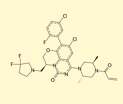 C=CC(=O)N1C[C@H](C)N(c2nc(=O)n3c4c(c(-c5cc(Cl)ccc5F)c(Cl)cc24)OC[C@@H]3CN2CCC(F)(F)C2)C[C@H]1C